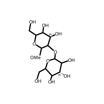 COC1OC(CO)C(O)[C@@H](O)C1OC1OC(CO)C(O)[C@@H](O)C1O